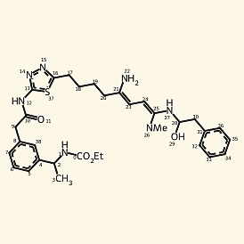 CCOC(=O)NC(C)c1cccc(CC(=O)Nc2nnc(CCCC/C(N)=C/C=C(\NC)NC(O)Cc3ccccc3)s2)c1